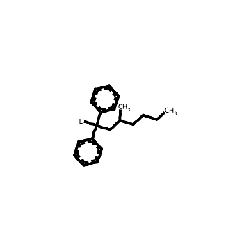 [Li][C](CC(C)CCCC)(c1ccccc1)c1ccccc1